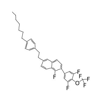 CCCCCCCc1ccc(CCc2ccc3c(F)c(-c4cc(F)c(OC(F)(F)F)c(F)c4)ccc3c2)cc1